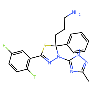 Cc1n[nH]c(N2N=C(c3cc(F)ccc3F)SC2(CCCN)c2ccccc2)n1